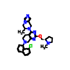 C[C@H]1Cn2cncc2CN1c1nc(OC[C@@H]2CCCN2C)nc2c1CCN(c1cccc3cccc(Cl)c13)C2